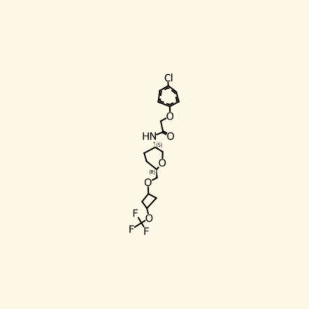 O=C(COc1ccc(Cl)cc1)N[C@H]1CC[C@H](COC2CC(OC(F)(F)F)C2)OC1